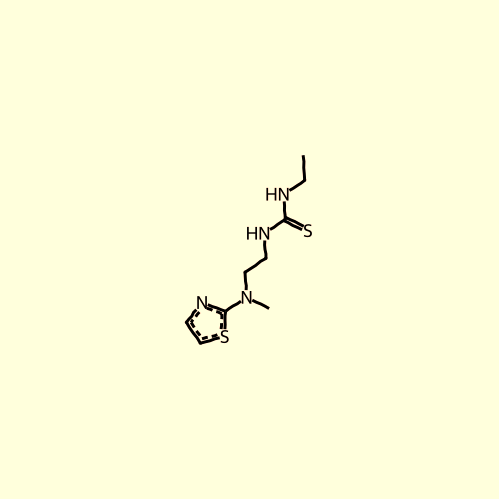 CCNC(=S)NCCN(C)c1nccs1